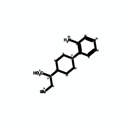 CC(C)(C)CN(C(=O)O)C1CCN(c2ccncc2N)CC1